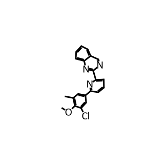 COc1c(C)cc(-c2cccc(-c3ncc4ccccc4n3)n2)cc1Cl